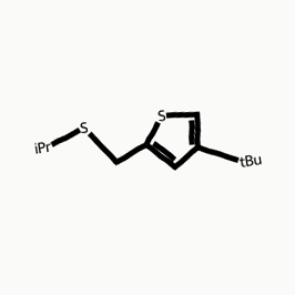 CC(C)SCc1cc(C(C)(C)C)cs1